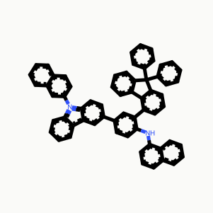 c1ccc(C2(c3ccccc3)c3ccccc3-c3c(-c4cc(-c5ccc6c(c5)c5ccccc5n6-c5ccc6ccccc6c5)ccc4Nc4cccc5ccccc45)cccc32)cc1